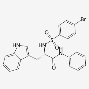 O=C(Nc1ccccc1)[C@H](Cc1c[nH]c2ccccc12)NS(=O)(=O)c1ccc(Br)cc1